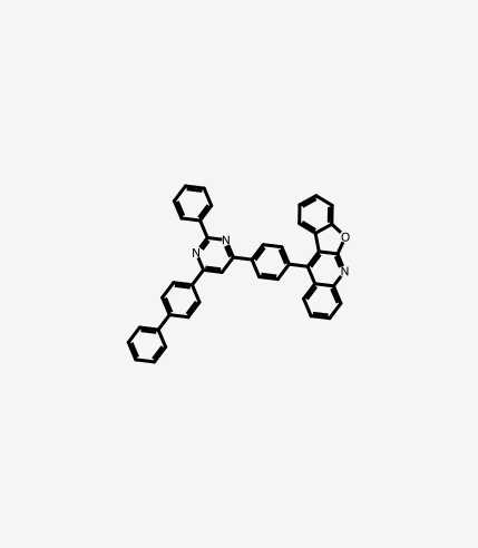 c1ccc(-c2ccc(-c3cc(-c4ccc(-c5c6ccccc6nc6oc7ccccc7c56)cc4)nc(-c4ccccc4)n3)cc2)cc1